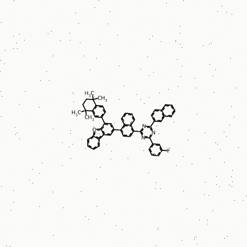 CC1(C)CCC(C)(C)c2cc(-c3cc(-c4ccc(-c5nc(-c6cccc(F)c6)nc(-c6ccc7ccccc7c6)n5)c5ccccc45)cc4c3oc3ccccc34)ccc21